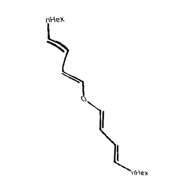 CCCCCC/C=C/C=C/O/C=C/C=C/CCCCCC